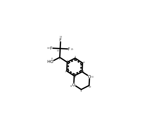 OC(c1ccc2c(c1)OCCO2)C(F)(F)F